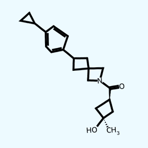 C[C@]1(O)C[C@@H](C(=O)N2CC3(CC(c4ccc(C5CC5)cc4)C3)C2)C1